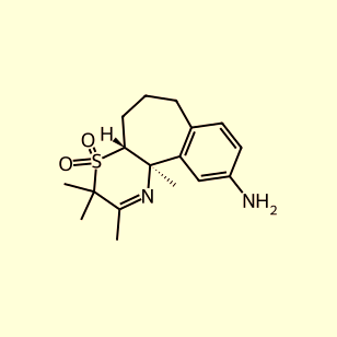 CC1=N[C@]2(C)c3cc(N)ccc3CCC[C@H]2S(=O)(=O)C1(C)C